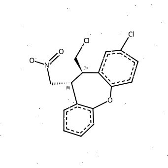 O=[N+]([O-])C[C@H]1c2ccccc2Oc2ccc(Cl)cc2[C@@H]1CCl